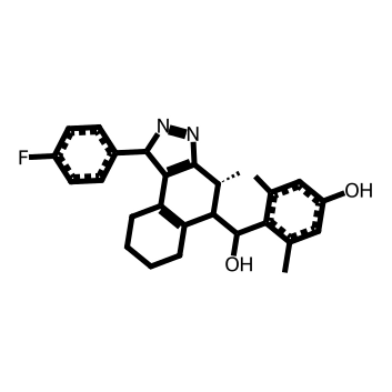 Cc1cc(O)cc(C)c1C(O)C1C2=C(CCCC2)C2=C(N=NC2c2ccc(F)cc2)[C@@H]1C